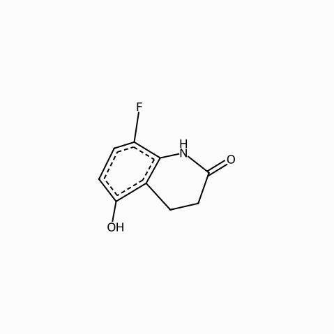 O=C1CCc2c(O)ccc(F)c2N1